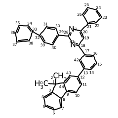 CC1(C)c2ccccc2-c2ccc(-c3cccc(-c4cc(-c5ccccc5)nc(-c5ccc(-c6ccccc6)cc5)n4)c3)cc21